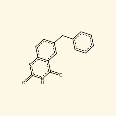 O=c1[nH]c(=O)c2cc(Cc3ccccc3)ccc2s1